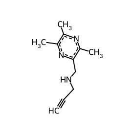 C#CCNCc1nc(C)c(C)nc1C